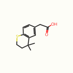 CC1(C)CCSc2ccc(CC(=O)O)cc21